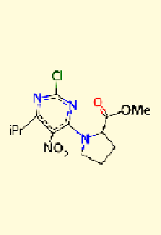 COC(=O)C1CCCN1c1nc(Cl)nc(C(C)C)c1[N+](=O)[O-]